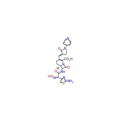 Nc1nc(/C(=N/O)C(=O)N[C@@H]2C(=O)N3C(C(=O)O)=C(C=C4CCN(c5ccncc5)C4=O)CC[C@H]23)cs1